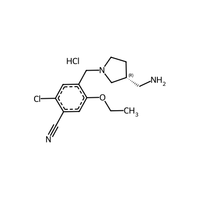 CCOc1cc(C#N)c(Cl)cc1CN1CC[C@H](CN)C1.Cl